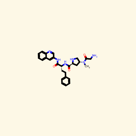 CN(C(=O)CN)[C@H]1CN[C@H](C(=O)N[C@H](CCc2ccccc2)C(=O)Nc2cnc3ccccc3c2)C1